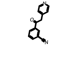 N#Cc1cccc(C(=O)Cc2ccncc2)c1